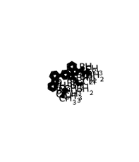 BC/C(=C(B)\C(B)=C(\B)C#C)C1(c2ccc(-c3cccc4c3oc3c(B5OC(C)(C)C(C)(C)O5)cccc34)cc2)C/C(=C(B)\C(B)=C(\B)C)c2ccccc21